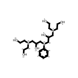 OCCN(CCO)CC(O)CN(CC(O)CN(CCO)CCO)c1ccccc1